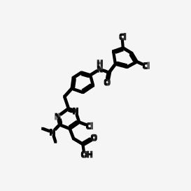 CN(C)c1nc(Cc2ccc(NC(=O)c3cc(Cl)cc(Cl)c3)cc2)nc(Cl)c1CC(=O)O